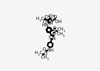 Cc1c(C(C)(C)C)c(Nc2ccc(-c3cnc(C4CCC(NC(=O)OC(C)C)CC4)s3)c(S(=O)(=O)C(C)C)c2)nn1C(=O)O